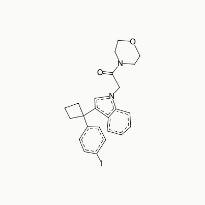 O=C(Cn1cc(C2(c3ccc(I)cc3)CCC2)c2ccccc21)N1CCOCC1